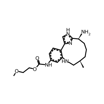 COCCOC(=O)Nc1ccc2c(c1)NC[C@H](C)CCC[C@H](N)c1nc-2c[nH]1